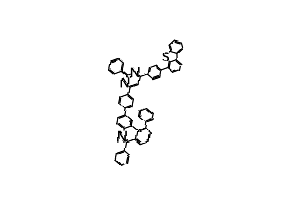 c1ccc(-c2nc(-c3ccc(-c4ccc5nc(-c6ccccc6)c6cccc(-c7ccccc7)c6c5c4)cc3)cc(-c3ccc(-c4cccc5c4sc4ccccc45)cc3)n2)cc1